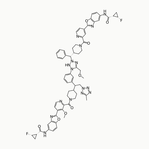 COCC1=NN([C@H](c2ccccc2)C2CCN(C(=O)c3cc(-c4nc5cc(NC(=O)[C@@H]6C[C@@H]6F)ccc5o4)ccn3)CC2)NN1c1cccc(C(Cn2nnc(C)n2)C2CCN(C(=O)c3nccc(-c4nc5cc(NC(=O)[C@@H]6C[C@@H]6F)ccc5o4)c3OC)CC2)c1